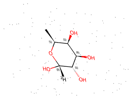 [2H][C@@]1(O)O[C@@H](C)[C@@H](O)[C@@H](O)[C@@H]1O